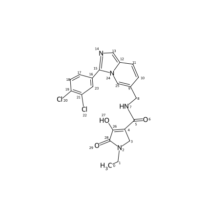 CCN1CC(C(=O)NCc2ccc3cnc(-c4ccc(Cl)c(Cl)c4)n3c2)=C(O)C1=O